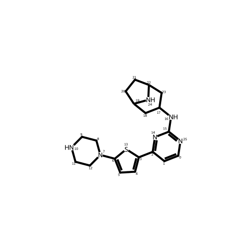 c1cc(-c2ccc(N3CCNCC3)s2)nc(NC2CC3CCC(C2)N3)n1